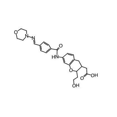 O=C(O)CC1Cc2ccc(NC(=O)c3ccc(C=NN4CCOCC4)cc3)cc2OC1CCO